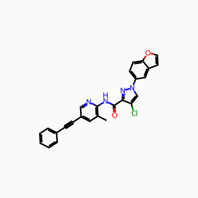 Cc1cc(C#Cc2ccccc2)cnc1NC(=O)c1nn(-c2ccc3occc3c2)cc1Cl